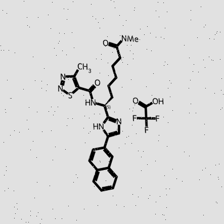 CNC(=O)CCCCC[C@H](NC(=O)c1snnc1C)c1ncc(-c2ccc3ccccc3c2)[nH]1.O=C(O)C(F)(F)F